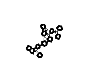 c1ccc(N(c2ccccc2)c2cccc(N(c3cccc4c3oc3ccccc34)c3cccc4c3oc3cc(-c5ccc6c7c8ccccc8ccc7n(-c7ccccc7)c6c5)ccc34)c2)cc1